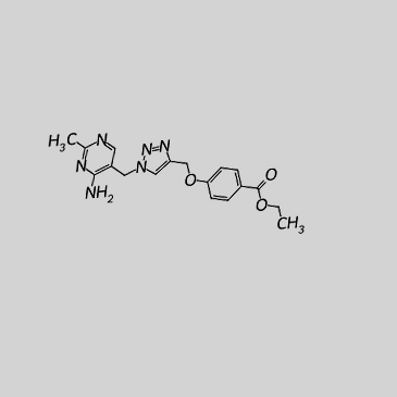 CCOC(=O)c1ccc(OCc2cn(Cc3cnc(C)nc3N)nn2)cc1